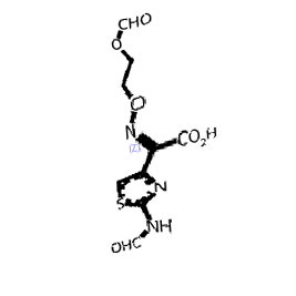 O=CNc1nc(/C(=N/OCCOC=O)C(=O)O)cs1